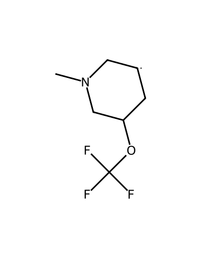 CN1C[CH]CC(OC(F)(F)F)C1